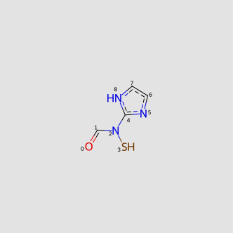 O=CN(S)c1ncc[nH]1